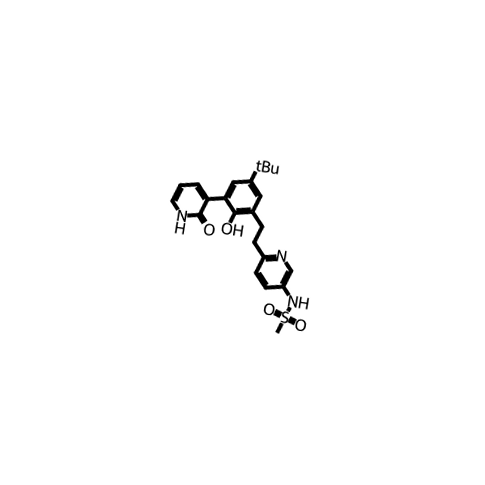 CC(C)(C)c1cc(CCc2ccc(NS(C)(=O)=O)cn2)c(O)c(-c2ccc[nH]c2=O)c1